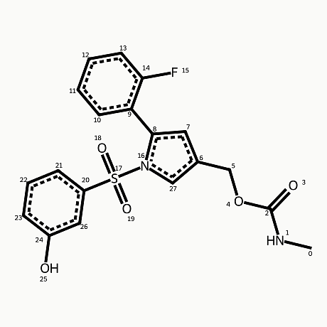 CNC(=O)OCc1cc(-c2ccccc2F)n(S(=O)(=O)c2cccc(O)c2)c1